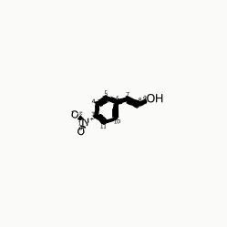 O=[N+]([O-])c1ccc(C=CO)cc1